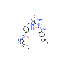 CC1=CC(NC(=O)c2ccc(Cc3nc(C(N)=O)c(NC(=O)Nc4ccc(C(F)(F)F)cc4)[nH]3)cc2)=N[N]1